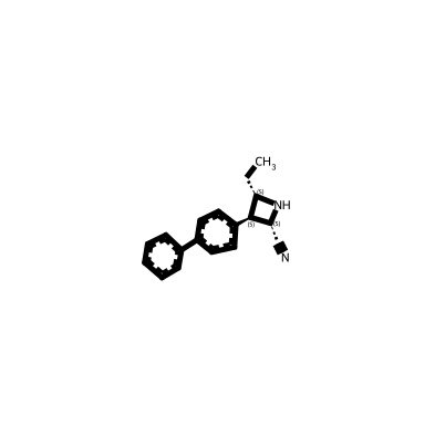 CC[C@@H]1N[C@H](C#N)[C@H]1c1ccc(-c2ccccc2)cc1